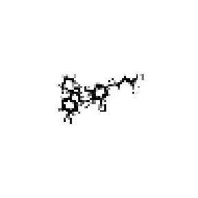 ClC(Cl)=CCOc1cc(Cl)c(OCCC2(c3ccc(Cl)cc3)OCCCO2)c(Cl)c1